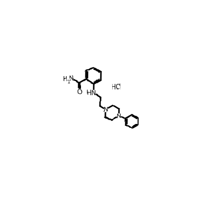 Cl.NC(=O)c1ccccc1NCCN1CCN(c2ccccc2)CC1